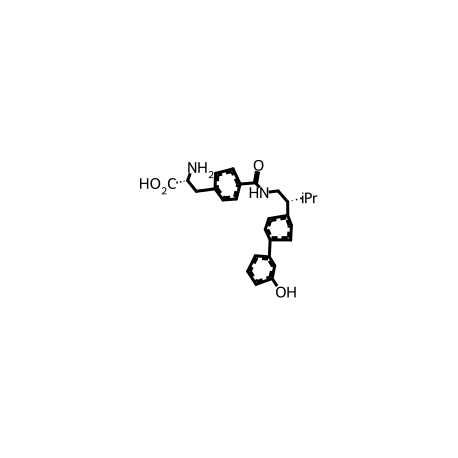 CC(C)[C@@H](CNC(=O)c1ccc(C[C@@H](N)C(=O)O)cc1)c1ccc(-c2cccc(O)c2)cc1